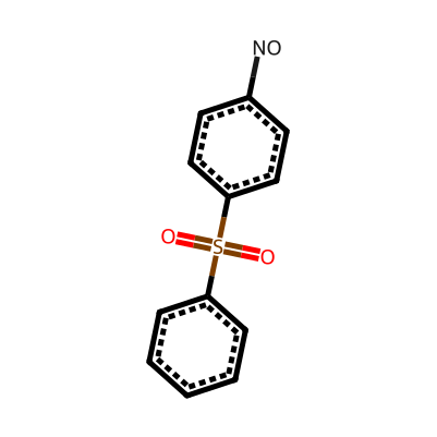 O=Nc1ccc(S(=O)(=O)c2ccccc2)cc1